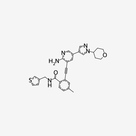 Cc1ccc(C(=O)NCc2ccsc2)c(C#Cc2cc(-c3cnn(C4CCOCC4)c3)cnc2N)c1